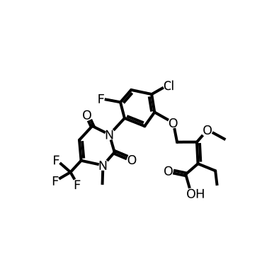 CCC(C(=O)O)=C(COc1cc(-n2c(=O)cc(C(F)(F)F)n(C)c2=O)c(F)cc1Cl)OC